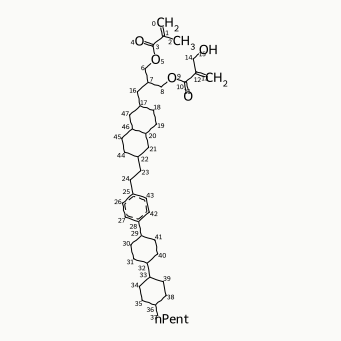 C=C(C)C(=O)OCC(COC(=O)C(=C)CO)CC1CCC2CC(CCc3ccc(C4CCC(C5CCC(CCCCC)CC5)CC4)cc3)CCC2C1